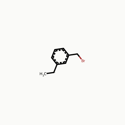 C[CH]c1cccc(CBr)c1